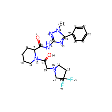 CCn1nc(NC(=O)C2CCCCN2C(=O)CN2CCC(F)(F)C2)nc1-c1ccccc1